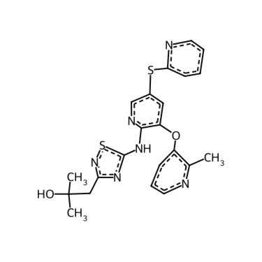 Cc1ncccc1Oc1cc(Sc2ccccn2)cnc1Nc1nc(CC(C)(C)O)ns1